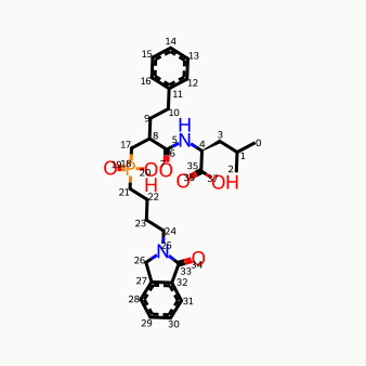 CC(C)C[C@H](NC(=O)C(CCc1ccccc1)CP(=O)(O)CCCCN1Cc2ccccc2C1=O)C(=O)O